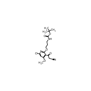 COc1cc(Cl)nc(OCCCNC(=O)OC(C)(C)C)c1C(=O)CC#N